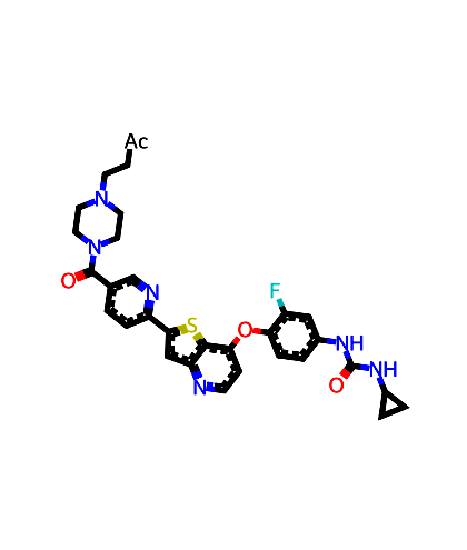 CC(=O)CCN1CCN(C(=O)c2ccc(-c3cc4nccc(Oc5ccc(NC(=O)NC6CC6)cc5F)c4s3)nc2)CC1